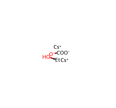 CCO.O=C([O-])[O-].[Cs+].[Cs+]